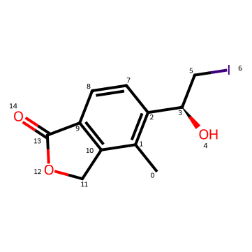 Cc1c([C@H](O)CI)ccc2c1COC2=O